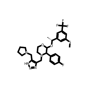 CSc1cc([C@@H](C)OC2OCCN(Cc3nn[nH]c3CN3CCCC3)C2c2ccc(F)cc2)cc(C(F)(F)F)c1